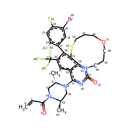 C=CC(=O)N1C[C@H](C)N(c2nc(=O)n3c4c(c(-c5cc(Br)c(F)cc5F)c(C(F)(F)F)cc24)SCCCOCCC3)C[C@H]1C